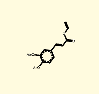 C=COC(=O)C=Cc1ccc(OC(C)=O)c(OC)c1